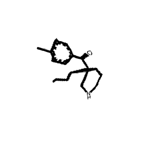 CCCC1(C(=O)c2ccc(C)cc2)CCCNC1